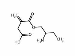 C=C(CC(=O)O)C(=O)OCC(N)CC